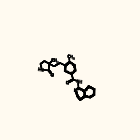 Cc1ccc(C(=O)Nc2nccc3ccccc23)cc1CCC1(C)CCNC1=O